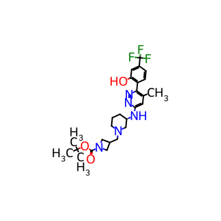 Cc1cc(N[C@@H]2CCCN(CC3CN(C(=O)OC(C)(C)C)C3)C2)nnc1-c1ccc(C(F)(F)F)cc1O